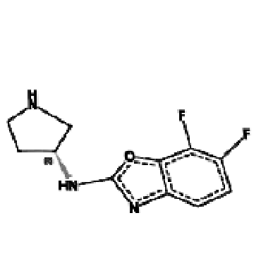 Fc1ccc2nc(N[C@@H]3CCNC3)oc2c1F